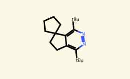 CC(C)(C)c1nnc(C(C)(C)C)c2c1CCC21CCCC1